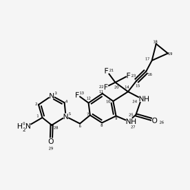 Nc1cncn(Cc2cc3c(cc2F)C(C#CC2CC2)(C(F)(F)F)NC(=O)N3)c1=O